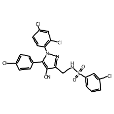 N#Cc1c(CNS(=O)(=O)c2cccc(Cl)c2)nn(-c2ccc(Cl)cc2Cl)c1-c1ccc(Cl)cc1